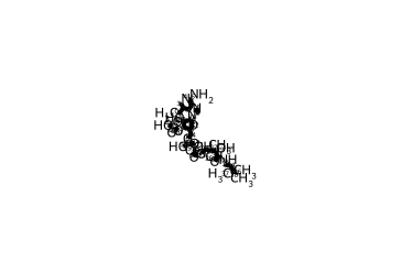 CCC1C=NC(N)=C2N=CN(C3OC(COP(=O)(O)OP(=O)(O)OCC(C)(C)C(O)C(=O)NCCC(C)(C)C)C(OP(=O)(O)O)C3O)C21